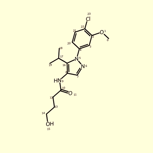 COc1cc(-n2ncc(NC(=O)CCCO)c2C(C)C)ccc1Cl